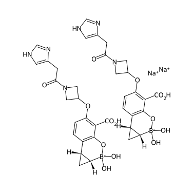 O=C(O)c1c(OC2CN(C(=O)Cc3c[nH]cn3)C2)ccc2c1O[B-](O)(O)[C@@H]1C[C@H]21.O=C(O)c1c(OC2CN(C(=O)Cc3c[nH]cn3)C2)ccc2c1O[B-](O)(O)[C@@H]1C[C@H]21.[Na+].[Na+]